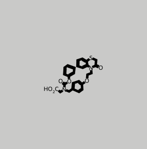 O=C(O)CN(Cc1ccc(OCCN2C(=O)CSc3ccccc32)cc1)C(=O)Oc1ccccc1